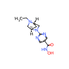 CCN1C[C@@H]2C[C@H]1CN2c1ncc(C(=O)NO)cn1